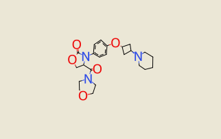 O=C(C1COC(=O)N1c1ccc(O[C@H]2C[C@H](N3CCCCC3)C2)cc1)N1CCOCC1